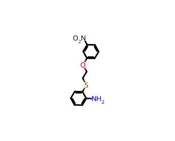 Nc1ccccc1SCCOc1cccc([N+](=O)[O-])c1